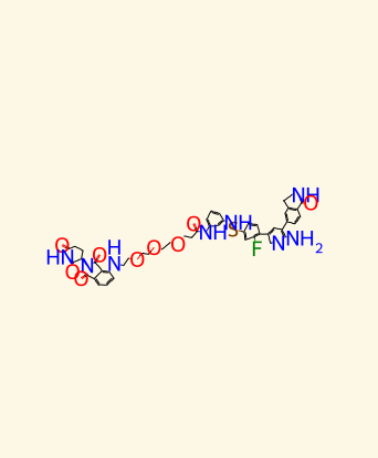 Nc1ncc(-c2ccc(SNc3cccc(NC(=O)CCOCCOCCOCCNc4cccc5c4C(=O)N(C4CCC(=O)NC4=O)C5=O)c3)cc2F)cc1-c1ccc2c(c1)CCNC2=O